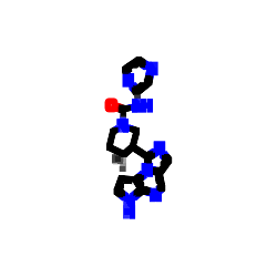 C[C@@H]1CCN(C(=O)Nc2cnccn2)CC1c1ncc2cnc3[nH]ccc3n12